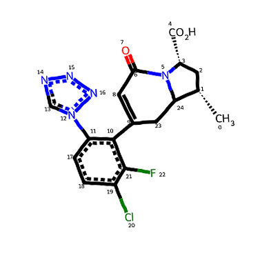 C[C@H]1C[C@@H](C(=O)O)N2C(=O)C=C(c3c(-n4cnnn4)ccc(Cl)c3F)CC12